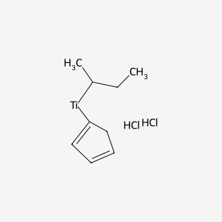 CC[CH](C)[Ti][C]1=CC=CC1.Cl.Cl